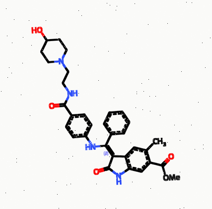 COC(=O)c1cc2c(cc1C)/C(=C(/Nc1ccc(C(=O)NCCN3CCC(O)CC3)cc1)c1ccccc1)C(=O)N2